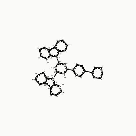 c1ccc(-c2ccc(-c3nc(-n4c5ccccc5c5cccnc54)nc(-n4c5ccccc5c5cccnc54)n3)cc2)cc1